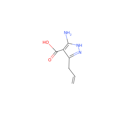 C=CCc1n[nH]c(N)c1C(=O)O